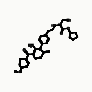 COc1ccc(C(=O)c2ccc(=O)n(-c3ccc(CCN[C@@H](CC(C)C)C(=O)OC4CCCC4)cc3)c2N)cc1